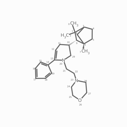 CC1(C)C2CC[C@@](C)(C2)[C@@H]1C1CC=C(c2ccccc2)N(CCN2CCOCC2)C1